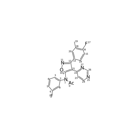 CC(=O)N(c1cccc(F)c1)c1onc(-c2ccc(F)c(C)c2)c1-c1ccncn1